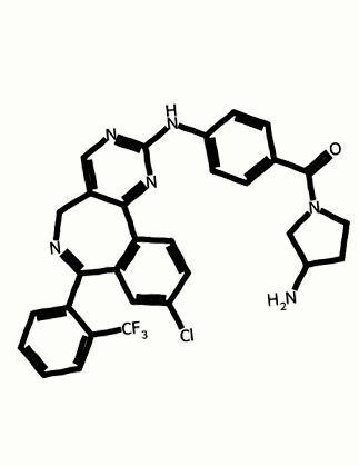 NC1CCN(C(=O)c2ccc(Nc3ncc4c(n3)-c3ccc(Cl)cc3C(c3ccccc3C(F)(F)F)=NC4)cc2)C1